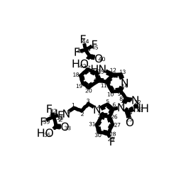 NCCCn1cc(-n2c(-c3cc4c(cn3)[nH]c3ccccc34)n[nH]c2=O)c2cc(F)ccc21.O=C(O)C(F)(F)F.O=C(O)C(F)(F)F